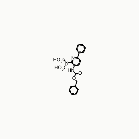 O=C(Nc1ccc(-c2ccccc2)nc1N(C(=O)O)C(=O)O)OCc1ccccc1